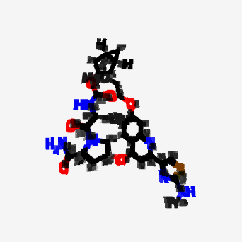 COCCOc1ccc2c(O[C@@H]3C[C@@H](C(N)=O)N(C(=O)[C@@H](NC(=O)O[C@H]4C[C@@H]5C[C@@H]5C4)C(C)(C)C)C3)cc(-c3csc(NC(C)C)n3)nc2c1